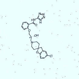 O=C(Nc1nnn[nH]1)c1ccccc1OC[C@H](O)CN1CCC2(CC1)Cc1cc(Cl)ccc1O2